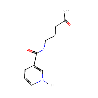 CNC(=O)CCCNC(=O)C1=CN(C)C=CC1